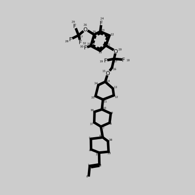 C/C=C/C1CCC(C2CCC(C3CCC(OCC(F)(F)Oc4cc(F)c(OC(F)(F)F)c(F)c4)CC3)CC2)CC1